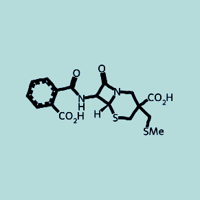 CSCC1(C(=O)O)CS[C@@H]2C(NC(=O)c3ccccc3C(=O)O)C(=O)N2C1